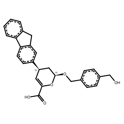 O=C(O)C1=C[C@@H](c2ccc3c(c2)Cc2ccccc2-3)C[C@@H](OCc2ccc(CO)cc2)O1